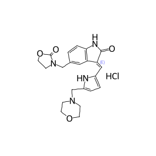 Cl.O=C1Nc2ccc(CN3CCOC3=O)cc2/C1=C\c1ccc(CN2CCOCC2)[nH]1